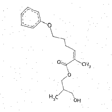 CC(=CCCCOc1ccccc1)C(=O)OCC(C)CO